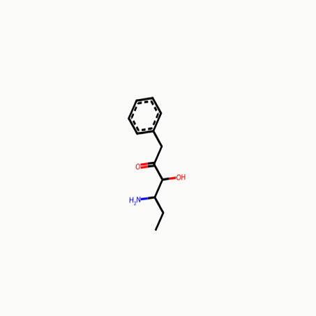 CCC(N)C(O)C(=O)Cc1ccccc1